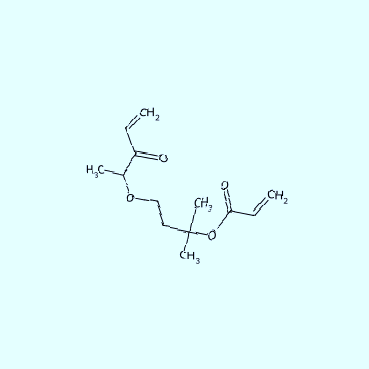 C=CC(=O)OC(C)(C)CCOC(C)C(=O)C=C